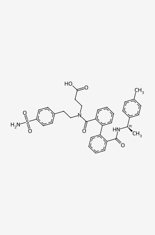 Cc1ccc([C@@H](C)NC(=O)c2ccccc2-c2ccccc2C(=O)N(CCC(=O)O)CCc2ccc(S(N)(=O)=O)cc2)cc1